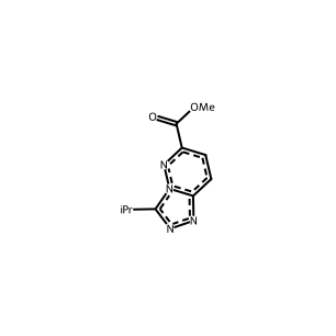 COC(=O)c1ccc2nnc(C(C)C)n2n1